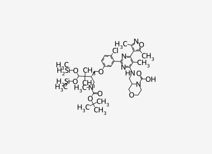 C[SiH2]OC(O[SiH2]C)C(C)(C)[C@@H](COc1ccc(Cl)c(-c2nc(NCC3COCCN3C(=O)O)c(C)c(-c3c(C)noc3C)n2)c1)CN(C)C(=O)OC(C)(C)C